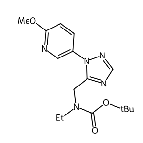 CCN(Cc1ncnn1-c1ccc(OC)nc1)C(=O)OC(C)(C)C